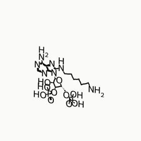 NCCCCCCNc1nc2c(N)ncnc2n1[C@@H]1O[C@H](COP(=O)(O)O)[C@@H](OP(=O)(O)O)[C@H]1O